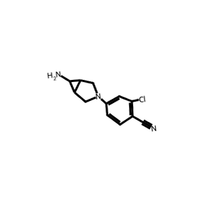 N#Cc1ccc(N2CC3C(N)C3C2)cc1Cl